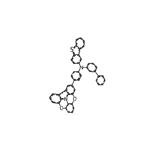 c1ccc(-c2cccc(N(c3ccc(-c4cc5c6c(c4)c4cccc7c4n6-c4c(cccc4O5)O7)cc3)c3ccc4sc5ccccc5c4c3)c2)cc1